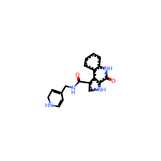 O=C(NCC1=CCNC=C1)c1c[nH]c2c(=O)[nH]c3ccccc3c12